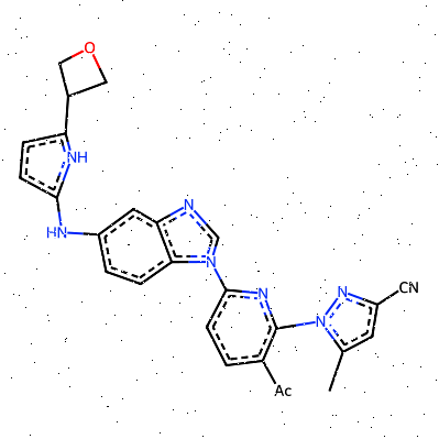 CC(=O)c1ccc(-n2cnc3cc(Nc4ccc(C5COC5)[nH]4)ccc32)nc1-n1nc(C#N)cc1C